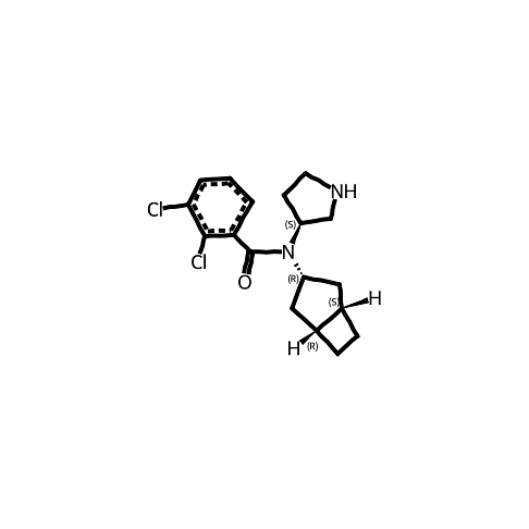 O=C(c1cccc(Cl)c1Cl)N([C@H]1C[C@H]2CC[C@H]2C1)[C@H]1CCNC1